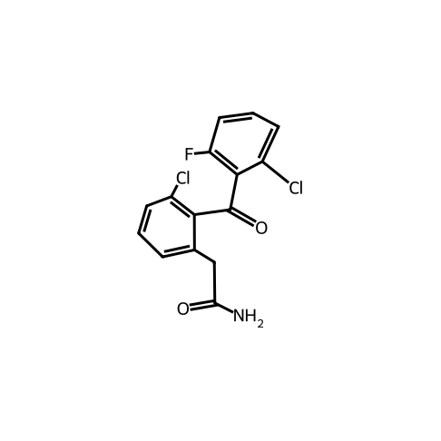 NC(=O)Cc1cccc(Cl)c1C(=O)c1c(F)cccc1Cl